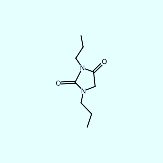 CCCN1CC(=O)N(CCC)C1=O